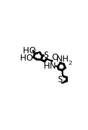 Nc1ccc(-c2cccs2)cc1NC(=O)c1cc2cc(O)c(O)cc2s1